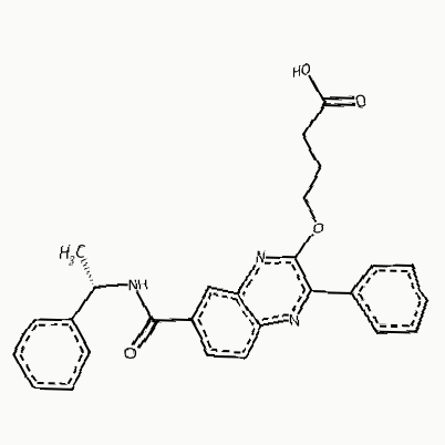 C[C@H](NC(=O)c1ccc2nc(-c3ccccc3)c(OCCCC(=O)O)nc2c1)c1ccccc1